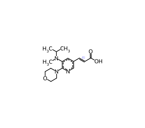 CC(C)N(C)c1cc(/C=C/C(=O)O)cnc1N1CCOCC1